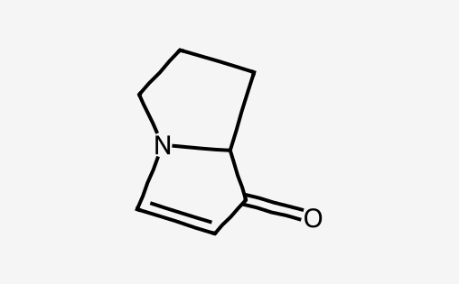 O=C1C=CN2CCCC12